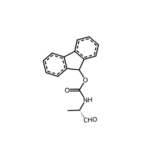 C[C@@H](C=O)NC(=O)OC1c2ccccc2-c2ccccc21